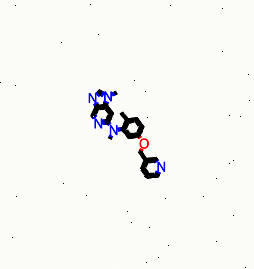 Cc1ccc(OCc2cccnc2)cc1N(C)c1cc2c(cn1)ncn2C